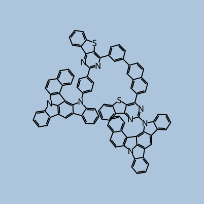 c1cc(-c2ccc3ccc(-c4nc(-n5c6ccccc6c6cc7c8ccccc8n8c9ccc%10ccccc%10c9c(c65)c78)nc5c4sc4ccccc45)cc3c2)cc(-c2nc(-c3ccc(-n4c5ccccc5c5cc6c7ccccc7n7c8ccc9ccccc9c8c(c54)c67)cc3)nc3c2sc2ccccc23)c1